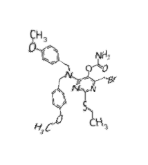 CCSc1nc(CBr)c(OC(N)=O)c(N(Cc2ccc(OC)cc2)Cc2ccc(OC)cc2)n1